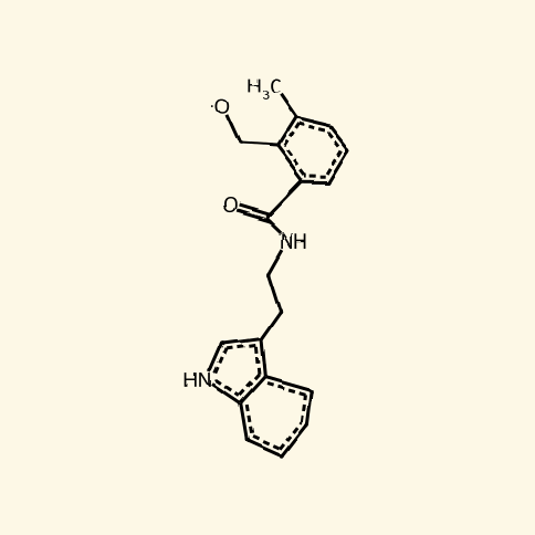 Cc1cccc(C(=O)NCCc2c[nH]c3ccccc23)c1C[O]